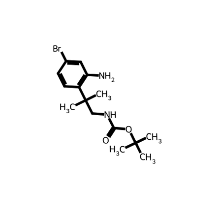 CC(C)(C)OC(=O)NCC(C)(C)c1ccc(Br)cc1N